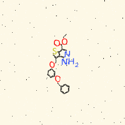 CCOC(=O)c1cnc(N)c2c(COc3cccc(OCc4ccccc4)c3)csc12